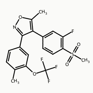 Cc1ccc(-c2noc(C)c2-c2ccc(S(C)(=O)=O)c(F)c2)cc1OC(F)(F)F